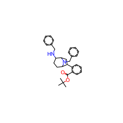 CC(C)(C)OC(=O)c1ccccc1C1CC2C(NCc3ccccc3)CCC1N2Cc1ccccc1